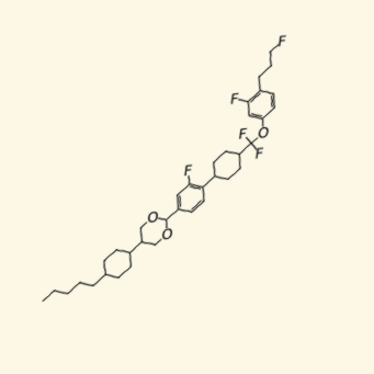 CCCCCC1CCC(C2COC(c3ccc(C4CCC(C(F)(F)Oc5ccc(CCCF)c(F)c5)CC4)c(F)c3)OC2)CC1